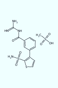 CS(=O)(=O)O.N=C(N)NC(=O)c1cccc(-c2ccsc2S(N)(=O)=O)c1